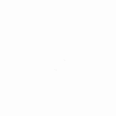 Nc1cccc(F)c1CNC1CC1